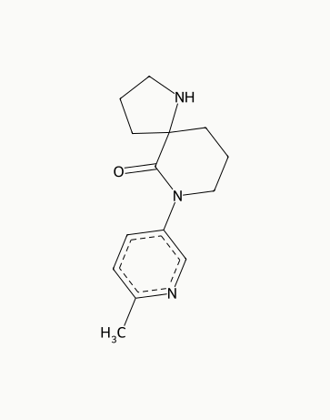 Cc1ccc(N2CCCC3(CCCN3)C2=O)cn1